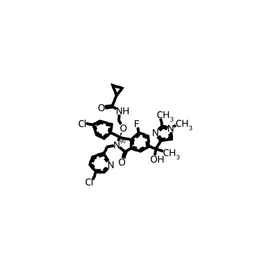 Cc1nc(C(C)(O)c2cc(F)c3c(c2)C(=O)N(Cc2ccc(Cl)cn2)[C@@]3(OCNC(=O)C2CC2)c2ccc(Cl)cc2)cn1C